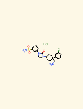 Cl.NCC1(c2cccc(Cl)c2)CCC(N2CCN(c3cccc(S(N)(=O)=O)c3)C2=O)CC1